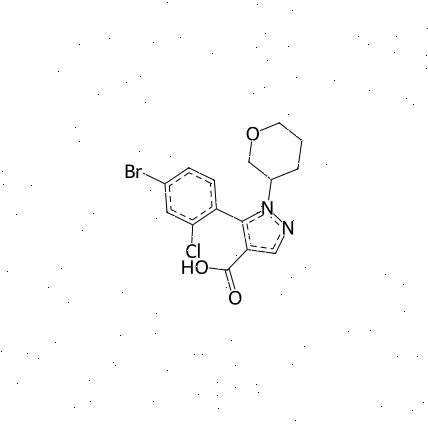 O=C(O)c1cnn(C2CCCOC2)c1-c1ccc(Br)cc1Cl